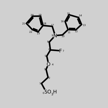 O=S(=O)(O)CCCOCC(F)CN(Cc1ccccc1)Cc1ccccc1